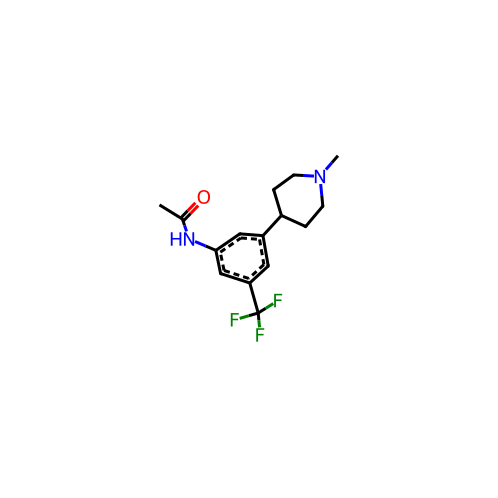 CC(=O)Nc1cc(C2CCN(C)CC2)cc(C(F)(F)F)c1